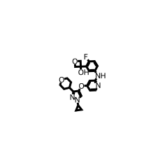 OC1(c2cc(Nc3cc(Oc4cn(C5CC5)nc4C4CCOCC4)ccn3)ccc2F)COC1